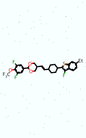 CCc1ccc2c(F)c(C3CCC(/C=C/C4COC(c5cc(F)c(OC(F)(F)F)c(F)c5)OC4)CC3)sc2c1